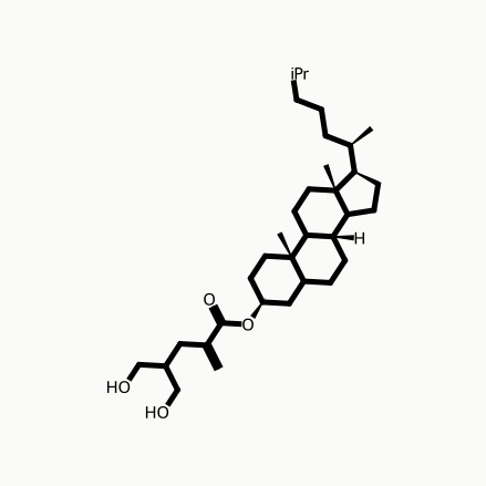 C=C(CC(CO)CO)C(=O)O[C@H]1CC[C@@]2(C)C(CC[C@@H]3C2CC[C@@]2(C)C3CC[C@@H]2[C@H](C)CCCC(C)C)C1